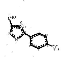 O=Cc1nnc(-c2ccc(C(F)(F)F)cc2)[nH]1